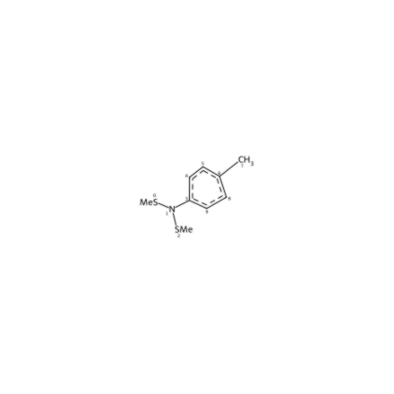 CSN(SC)c1ccc(C)cc1